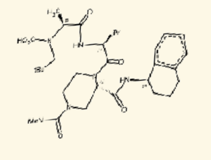 CNC(=O)N1CCN(C(=O)[C@@H](NC(=O)[C@H](C)N(CC(C)(C)C)C(=O)O)C(C)C)[C@H](C(=O)N[C@@H]2CCCc3ccccc32)C1